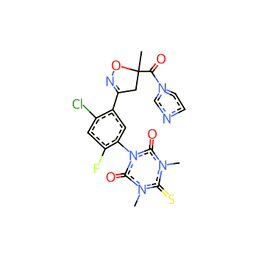 Cn1c(=S)n(C)c(=O)n(-c2cc(C3=NOC(C)(C(=O)n4ccnc4)C3)c(Cl)cc2F)c1=O